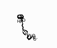 O=C(NCCCCN1CCN(c2cccc([N+](=O)[O-])n2)CC1)C12CC3CC(CC(C3)C1)C2